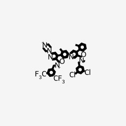 Cc1ccccc1-c1cc(N2CCN(C)CC2)ncc1C(=O)N(C)Cc1cc(C(F)(F)F)cc(C(F)(F)F)c1.Cc1ccccc1-c1ccncc1C(=O)N(C)Cc1cc(Cl)cc(Cl)c1